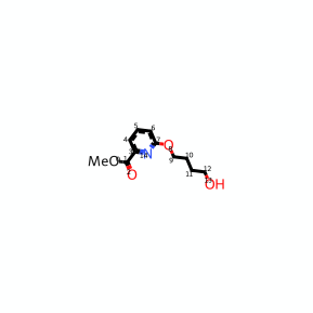 COC(=O)c1cccc(OCCCCO)n1